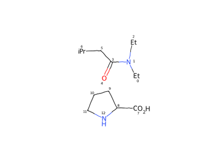 CCN(CC)C(=O)CC(C)C.O=C(O)C1CCCN1